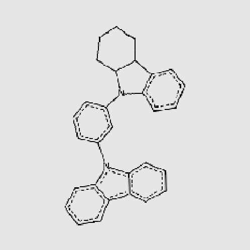 c1cc(N2c3ccccc3C3CCCCC32)cc(-n2c3ccccc3c3ccccc32)c1